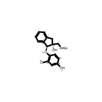 CNC[C@]1(O)Cc2ccccc2[C@@H]1Oc1ccc(O)cc1Cl